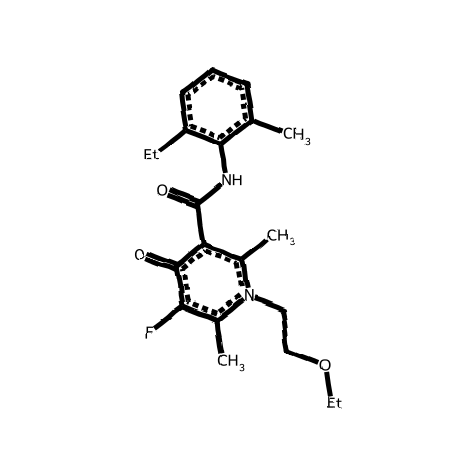 CCOCCn1c(C)c(F)c(=O)c(C(=O)Nc2c(C)cccc2CC)c1C